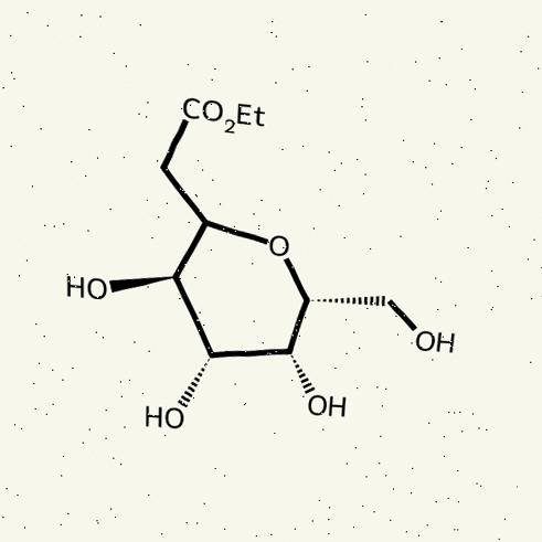 CCOC(=O)CC1O[C@H](CO)[C@H](O)[C@H](O)[C@H]1O